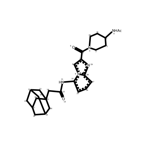 CC(=O)NC1CCN(C(=O)c2cn3c(NC(=O)CC45CC6CC(CC(C6)C4)C5)cccc3n2)CC1